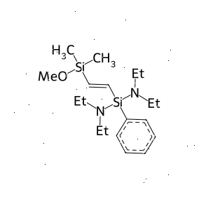 CCN(CC)[Si](C=C[Si](C)(C)OC)(c1ccccc1)N(CC)CC